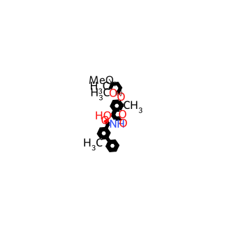 CO[C@@H]1CC[C@H](Oc2ccc3c(O)c(NC(=O)c4ccc(C)c(-c5ccccc5)c4)c(=O)oc3c2C)OC1(C)C